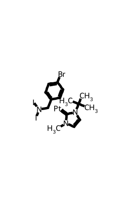 Brc1ccc(CN(I)I)cc1.Cn1ccn(C(C)(C)C)[c]1=[Pt]